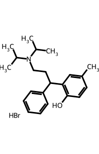 Br.Cc1ccc(O)c(C(CCN(C(C)C)C(C)C)c2ccccc2)c1